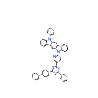 c1ccc(-c2ccc(-c3nc(-c4ccccc4)nc(-c4ccc(-n5c6ccccc6c6cc7c(cc65)c5ccccc5n7-c5ccccc5)nc4)n3)cc2)cc1